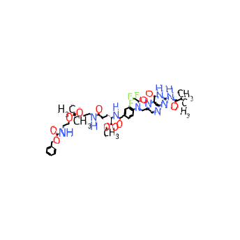 COC(=O)[C@H](CCC(=O)NCCOC(C)(C)OCCNC(=O)OCc1ccccc1)NC(=O)c1ccc(N(Cc2cnc3nc(NC(=O)C(C)C)[nH]c(=O)c3n2)C(=O)C(F)(F)F)cc1